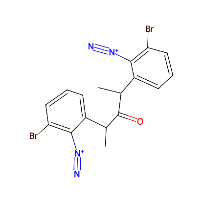 CC(C(=O)C(C)c1cccc(Br)c1[N+]#N)c1cccc(Br)c1[N+]#N